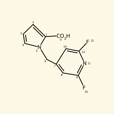 O=C(O)c1cccn1Cc1cc(F)nc(F)c1